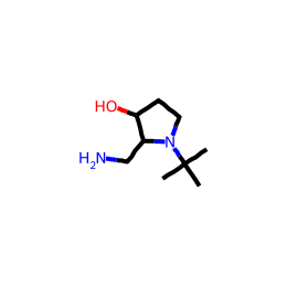 CC(C)(C)N1CCC(O)C1CN